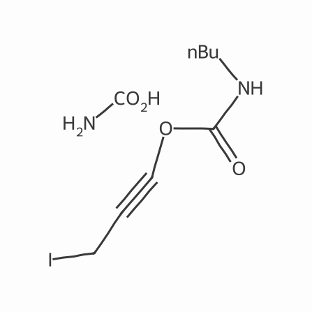 CCCCNC(=O)OC#CCI.NC(=O)O